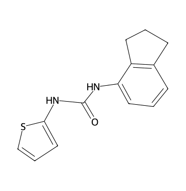 O=C(Nc1cccs1)Nc1cccc2c1CCC2